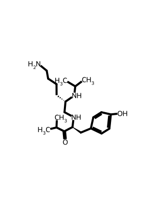 CC(C)N[C@@H](CCCCN)CN[C@@H](Cc1ccc(O)cc1)C(=O)C(C)C